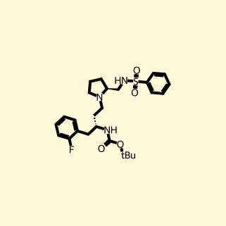 CC(C)(C)OC(=O)N[C@@H](CCN1CCC[C@H]1CNS(=O)(=O)c1ccccc1)Cc1ccccc1F